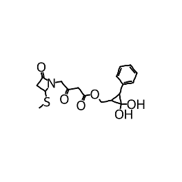 CSC1CC(=O)N1CC(=O)CC(=O)OCC1C(c2ccccc2)C1(O)O